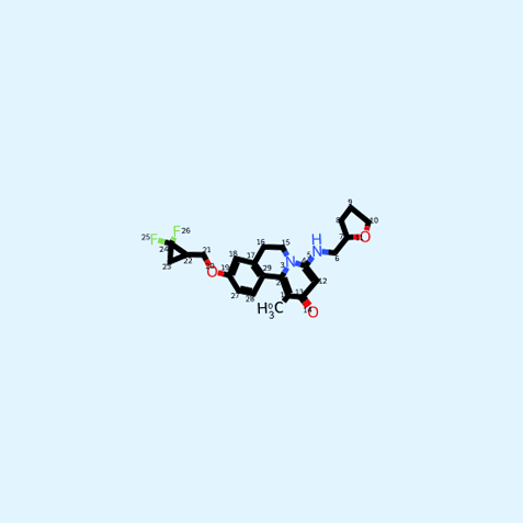 Cc1c2n(c(NCC3CCCO3)cc1=O)CCc1cc(OCC3CC3(F)F)ccc1-2